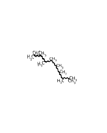 CC(C)=CCC\C(C)=C/C=C/C(C)=C\C=C\C(C)=C/C=C/C=C(C)/C=C/C=C(C)/C=C/C=C(/C)CCC=C(C)C